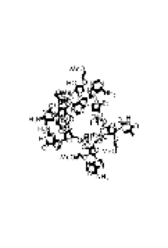 CC[C@H]1O[C@@H](n2cnc3c(N)ncnc32)CC1OP(=O)(S)OC[C@H]1O[C@@H](n2cc(C)c(=O)[nH]c2=O)[C@@H](OCCOC)C1OP(=O)(S)OC[C@H]1O[C@@H](n2cnc3c(N)ncnc32)[C@@H](OCCOC)C1OP(=O)(S)OC[C@H]1O[C@@H](n2cnc3c(=O)[nH]c(N)nc32)[C@@H](OCCOC)C1OP(=O)(S)OC[C@H]1O[C@@H](n2cc(C)c(N)nc2=O)[C@@H](OCCOC)C1OP(=O)(S)OC[C@H]1O[C@@H](n2cnc3c(N)ncnc32)[C@@H](OCCOC)C1O